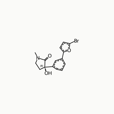 CN1CC[C@@](O)(c2cccc(-c3ccc(Br)o3)c2)C1=O